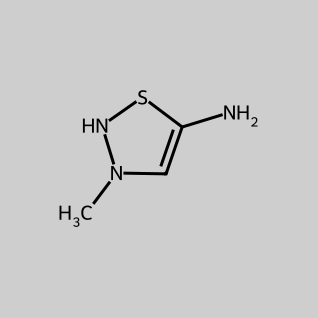 CN1C=C(N)SN1